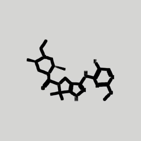 CCN1C[C@H](C)N(C(=O)N2Cc3c(Nc4nc(OC)ncc4F)n[nH]c3C2(C)C)C[C@H]1C